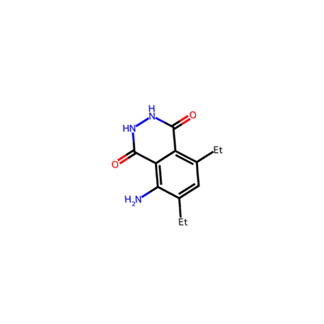 CCc1cc(CC)c2c(=O)[nH][nH]c(=O)c2c1N